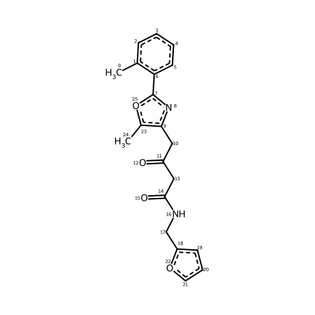 Cc1ccccc1-c1nc(CC(=O)CC(=O)NCc2ccco2)c(C)o1